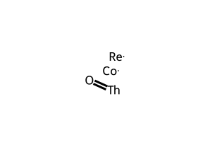 [Co].[O]=[Th].[Re]